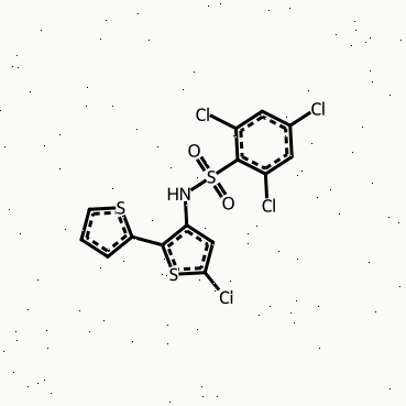 O=S(=O)(Nc1cc(Cl)sc1-c1cccs1)c1c(Cl)cc(Cl)cc1Cl